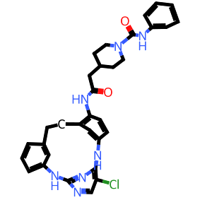 O=C(CC1CCN(C(=O)Nc2ccccc2)CC1)Nc1ccc2cc1CCc1cccc(c1)Nc1ncc(Cl)c(n1)N2